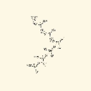 O=[N+]([O-])O.O=[N+]([O-])[O-].O=[N+]([O-])[O-].O=[N+]([O-])[O-].O=[N+]([O-])[O-].O=[N+]([O-])[O-].[K+].[Mo+4]